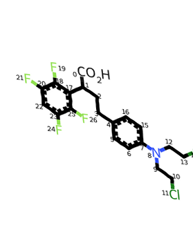 O=C(O)C(CCc1ccc(N(CCCl)CCCl)cc1)c1c(F)c(F)cc(F)c1F